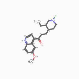 CCC1CN(Cl)CCC1CCC(=O)c1ccnc2ccc(OC)cc12